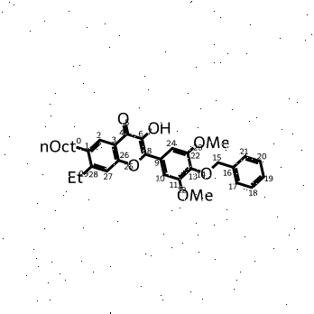 CCCCCCCCc1cc2c(=O)c(O)c(-c3cc(OC)c(OCc4ccccc4)c(OC)c3)oc2cc1CC